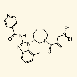 C=C(CN(CC)CC)C(=O)N1CCCC[C@@H](n2c(NC(=O)c3ccnnc3)nc3cccc(C)c32)C1